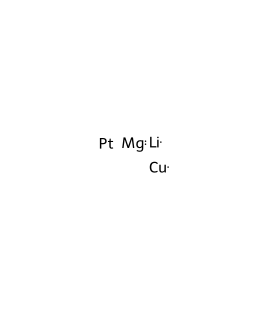 [Cu].[Li].[Mg].[Pt]